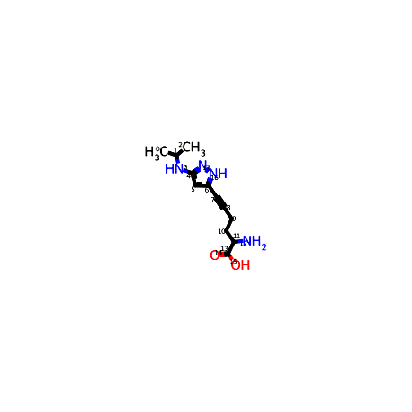 CC(C)Nc1cc(C#CCCC(N)C(=O)O)[nH]n1